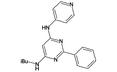 CCC(C)Nc1cc(Nc2ccncc2)nc(-c2ccccc2)n1